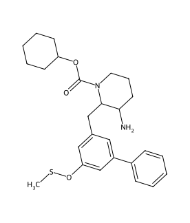 CSOc1cc(CC2C(N)CCCN2C(=O)OC2CCCCC2)cc(-c2ccccc2)c1